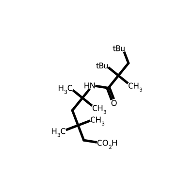 CC(C)(C)CC(C)(C(=O)NC(C)(C)CC(C)(C)CC(=O)O)C(C)(C)C